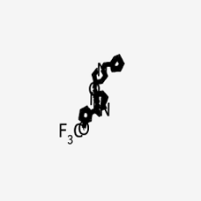 FC(F)(F)Oc1cccc(-c2cnc3ccc(OC4CCN(Cc5ccccc5)CC4)nn23)c1